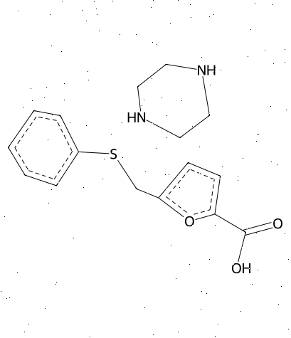 C1CNCCN1.O=C(O)c1ccc(CSc2ccccc2)o1